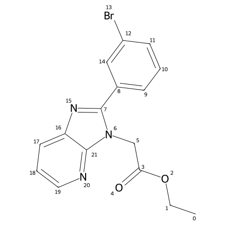 CCOC(=O)Cn1c(-c2cccc(Br)c2)nc2cccnc21